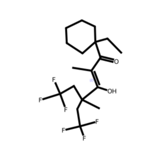 CCC1(C(=O)/C(C)=C(\O)C(C)(CC(F)(F)F)CC(F)(F)F)CCCCC1